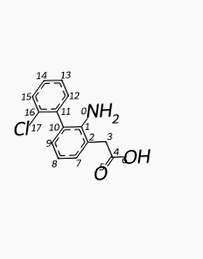 Nc1c(CC(=O)O)cccc1-c1ccccc1Cl